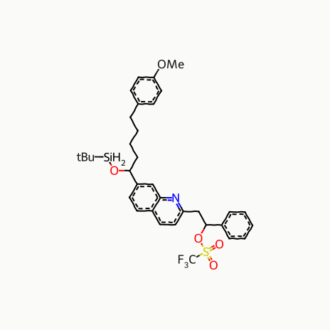 COc1ccc(CCCCC(O[SiH2]C(C)(C)C)c2ccc3ccc(CC(OS(=O)(=O)C(F)(F)F)c4ccccc4)nc3c2)cc1